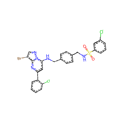 O=S(=O)(NCc1ccc(CNc2cc(-c3ccccc3Cl)nc3c(Br)cnn23)cc1)c1cccc(Cl)c1